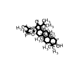 CCC(NC(=O)[C@@]12CC[C@]3(C)[C@H](CCC4[C@@]5(C)CC[C@H](O)C(C)(C)C5CC[C@]43C)C1=C(C(C)C)C(=O)C2)C(F)(F)F